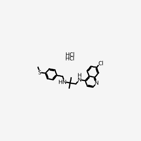 CSc1ccc(CNC(C)(C)CNc2ccnc3cc(Cl)ccc23)cc1.Cl.Cl